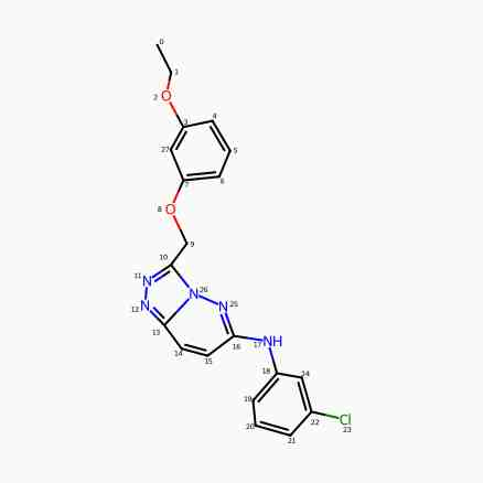 CCOc1cccc(OCc2nnc3ccc(Nc4cccc(Cl)c4)nn23)c1